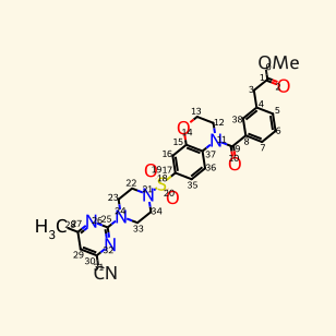 COC(=O)Cc1cccc(C(=O)N2CCOc3cc(S(=O)(=O)N4CCN(c5nc(C)cc(C#N)n5)CC4)ccc32)c1